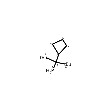 CC(C)(C)C(P)(C1CCC1)C(C)(C)C